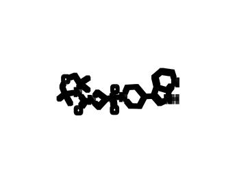 CC1(C)COCC(C)(C)N1C(=O)N1CC(S(=O)(=O)N2CCC(c3c[nH]c4ncccc34)CC2)C1